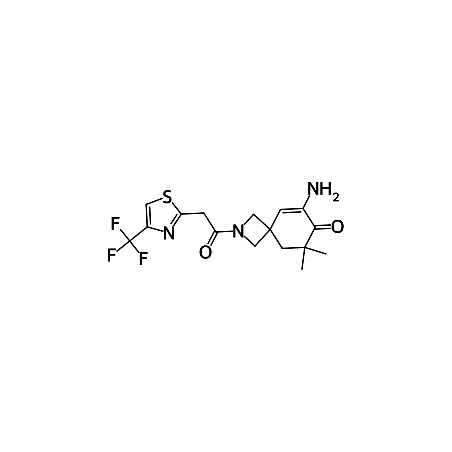 CC1(C)CC2(C=C(N)C1=O)CN(C(=O)Cc1nc(C(F)(F)F)cs1)C2